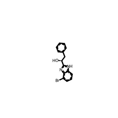 O[C@@H](Cc1ccccc1)c1nc2c(Br)cccc2[nH]1